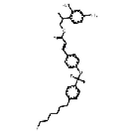 [CH2]C(COC(=O)/C=C/c1ccc(OC(F)(F)c2ccc(CCCCCCF)cc2)cc1)c1ccc(N)cc1N